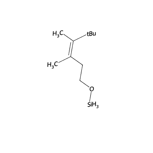 CC(CCO[SiH3])=C(C)C(C)(C)C